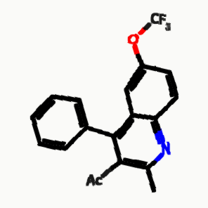 CC(=O)c1c(C)nc2ccc(OC(F)(F)F)cc2c1-c1ccccc1